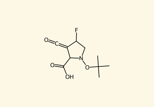 CC(C)(C)ON1CC(F)C(=C=O)C1C(=O)O